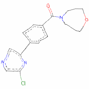 O=C(c1ccc(-c2cncc(Cl)n2)cc1)N1CCOCC1